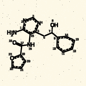 Nc1ncnc(CC(O)c2ccccc2)c1NC(=O)c1ccco1